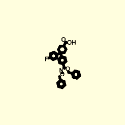 O=C(O)C1CCC(c2ccc(F)cc2)(c2ccc(C(=NOCc3ccccc3)OCc3ccccc3)cc2)CC1